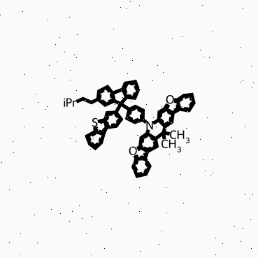 CC(C)CCc1ccc2c(c1)C(c1ccc(N3c4cc5oc6ccccc6c5cc4C(C)(C)c4cc5c(cc43)oc3ccccc35)cc1)(c1ccc3c(c1)sc1ccccc13)c1ccccc1-2